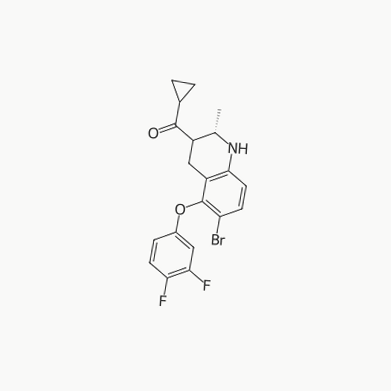 C[C@@H]1Nc2ccc(Br)c(Oc3ccc(F)c(F)c3)c2CC1C(=O)C1CC1